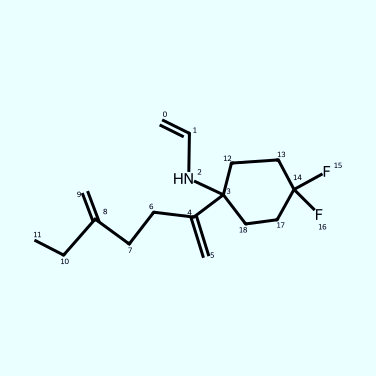 C=CNC1(C(=C)CCC(=C)CC)CCC(F)(F)CC1